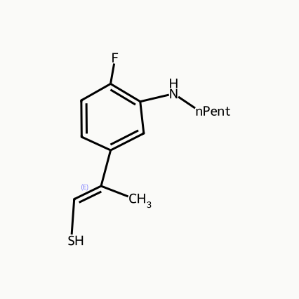 CCCCCNc1cc(/C(C)=C/S)ccc1F